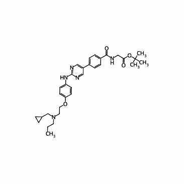 CCCN(CCOc1ccc(Nc2ncc(-c3ccc(C(=O)NCC(=O)OC(C)(C)C)cc3)cn2)cc1)CC1CC1